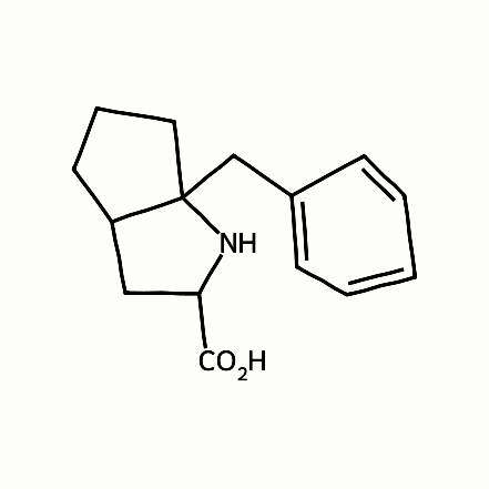 O=C(O)C1CC2CCCC2(Cc2ccccc2)N1